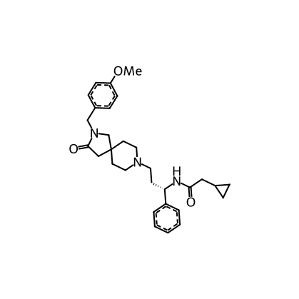 COc1ccc(CN2CC3(CCN(CC[C@H](NC(=O)CC4CC4)c4ccccc4)CC3)CC2=O)cc1